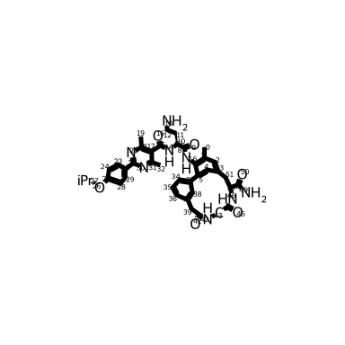 Cc1cc2cc(c1NC(=O)[C@H](CCN)NC(=O)c1c(C)nc(-c3ccc(OC(C)C)cc3)nc1C)-c1cccc(c1)CC(=O)NCC(=O)NC(C(N)=O)C2